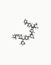 c1ccc(Oc2ccc(N(c3ccccc3)c3ccc(-c4cccc(-c5ccc(N(c6ccccc6)c6ccc(-c7ccccc7)cc6)cc5)c4)cc3)cc2)cc1